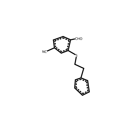 N#Cc1ccc(C=O)c(SCCc2ccccc2)c1